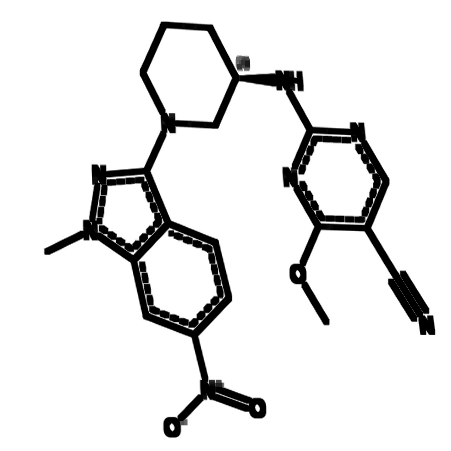 COc1nc(N[C@@H]2CCCN(c3nn(C)c4cc([N+](=O)[O-])ccc34)C2)ncc1C#N